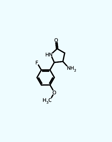 COc1ccc(F)c(C2NC(=O)CC2N)c1